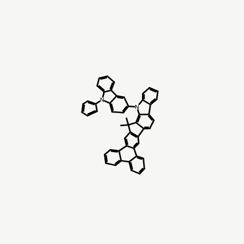 CC1(C)c2cc3c4ccccc4c4ccccc4c3cc2-c2ccc3c4ccccc4n(-c4ccc5c(c4)c4ccccc4n5-c4ccccc4)c3c21